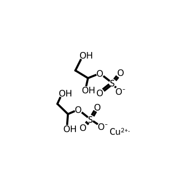 O=S(=O)([O-])OC(O)CO.O=S(=O)([O-])OC(O)CO.[Cu+2]